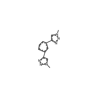 Cn1cc(-c2cccc(-c3cn(C)nn3)c2)nn1